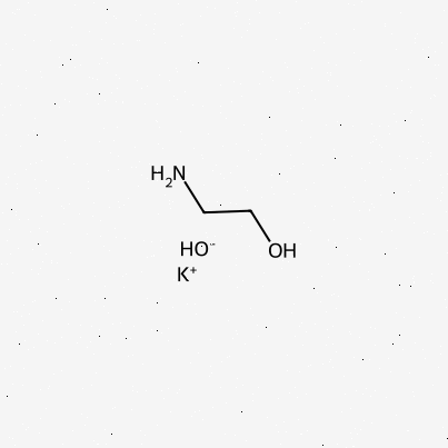 NCCO.[K+].[OH-]